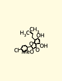 COc1c(-c2ccc(Cl)cc2)oc2c(CC=C(C)C)c(O)cc(O)c2c1=O